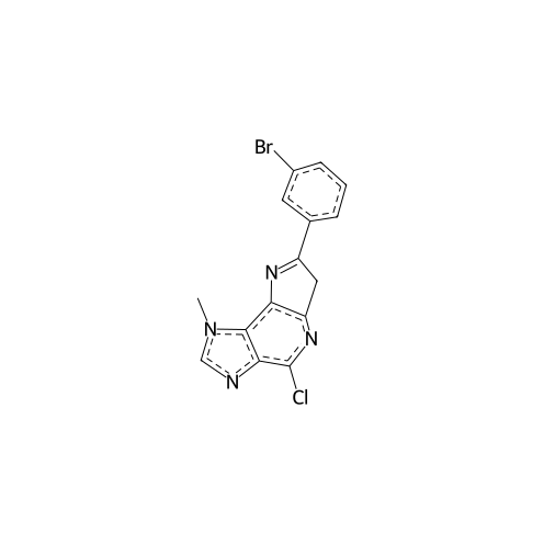 Cn1cnc2c(Cl)nc3c(c21)N=C(c1cccc(Br)c1)C3